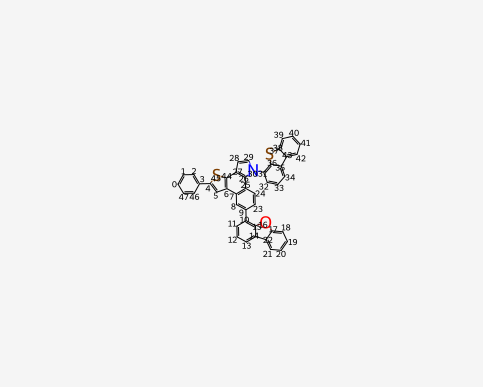 c1ccc(-c2cc3c4cc(-c5cccc6c5oc5ccccc56)ccc4c4c(ccn4-c4cccc5c4sc4ccccc45)c3s2)cc1